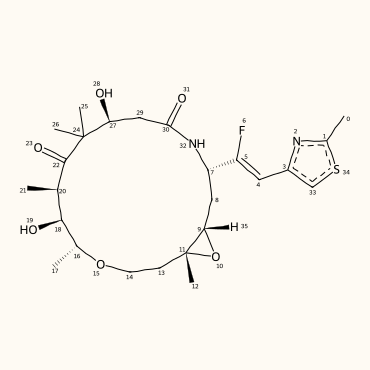 Cc1nc(C=C(F)[C@@H]2C[C@@H]3O[C@]3(C)CCO[C@H](C)[C@@H](O)[C@@H](C)C(=O)C(C)(C)[C@@H](O)CC(=O)N2)cs1